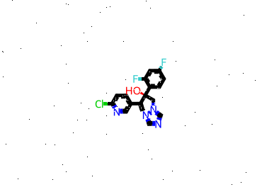 C=C(c1ccc(Cl)nc1)[C@@](O)(Cn1cncn1)c1ccc(F)cc1F